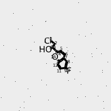 O[C@H](CCl)[C@@H]1C=Cc2cc(F)ccc2O1